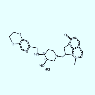 Cl.O=c1ccc2ccc(F)c3c2n1CC3CN1CC[C@H](NCc2cc3c(cn2)OCCO3)[C@H](O)C1